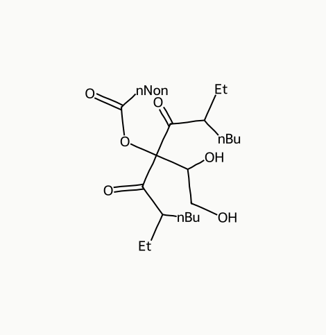 CCCCCCCCCC(=O)OC(C(=O)C(CC)CCCC)(C(=O)C(CC)CCCC)C(O)CO